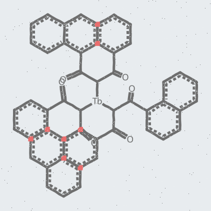 O=C(c1ccccc1)[CH](C(=O)c1cccc2ccccc12)[Tb]([CH](C(=O)c1ccccc1)C(=O)c1cccc2ccccc12)[CH](C(=O)c1ccccc1)C(=O)c1cccc2ccccc12